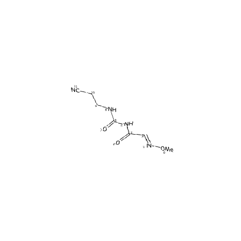 CON=CC(=O)NC(=O)NCCC#N